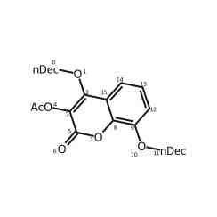 CCCCCCCCCCOc1c(OC(C)=O)c(=O)oc2c(OCCCCCCCCCC)cccc12